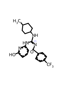 CC1CCC(N/C(=N/C(=O)c2ccc(C(F)(F)F)cc2)Nc2cccc(O)n2)CC1